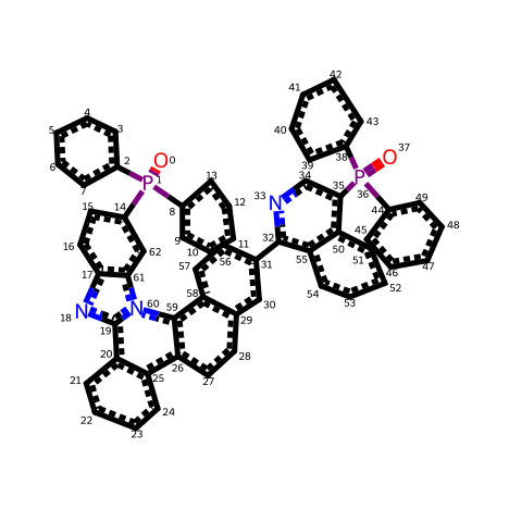 O=P(c1ccccc1)(c1ccccc1)c1ccc2nc3c4ccccc4c4ccc5cc(-c6ncc(P(=O)(c7ccccc7)c7ccccc7)c7ccccc67)ccc5c4n3c2c1